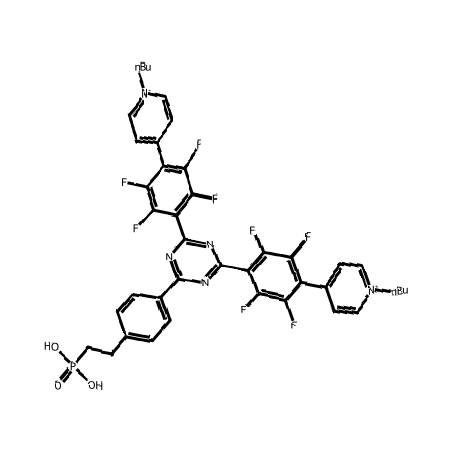 CCCC[n+]1ccc(-c2c(F)c(F)c(-c3nc(-c4ccc(CCP(=O)(O)O)cc4)nc(-c4c(F)c(F)c(-c5cc[n+](CCCC)cc5)c(F)c4F)n3)c(F)c2F)cc1